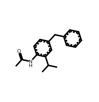 CC(=O)Nc1ccc(Cc2cc[c]cc2)cc1C(C)C